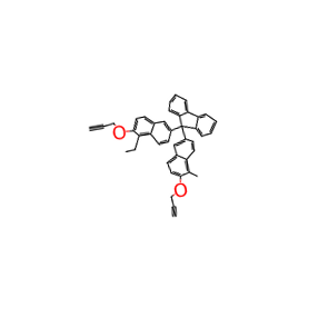 C#CCOc1ccc2cc(C3(c4ccc5c(CC)c(OCC#C)ccc5c4)c4ccccc4-c4ccccc43)ccc2c1C